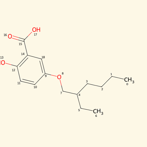 CCCCC(CC)COc1ccc(O)c(C(=O)O)c1